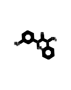 Cc1cccc(N(C)C(=O)N(C)c2ccccc2)c1